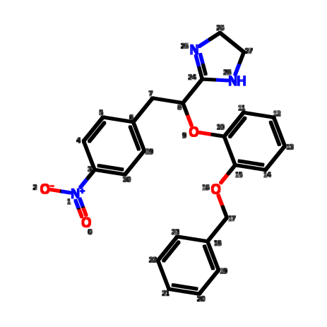 O=[N+]([O-])c1ccc(CC(Oc2ccccc2OCc2ccccc2)C2=NCCN2)cc1